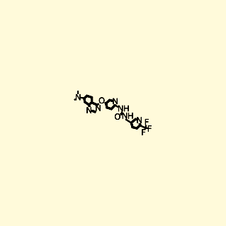 CN(C)c1ccc2c(Oc3ccc(NC(=O)NCc4ccc(C(F)(F)F)nc4)nc3)ncnc2c1